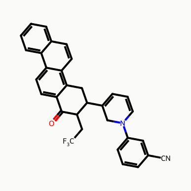 N#Cc1cccc(N2C=CC=C(C3Cc4c(ccc5c4ccc4ccccc45)C(=O)C3CC(F)(F)F)C2)c1